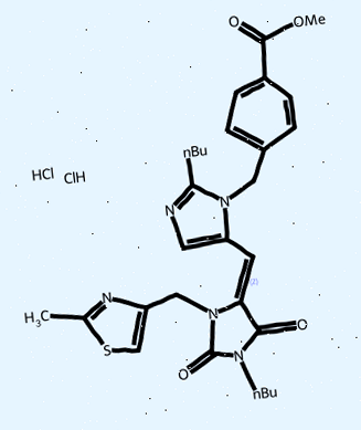 CCCCc1ncc(/C=C2/C(=O)N(CCCC)C(=O)N2Cc2csc(C)n2)n1Cc1ccc(C(=O)OC)cc1.Cl.Cl